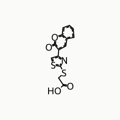 O=C(O)CSc1nc(-c2cc3ccccc3oc2=O)cs1